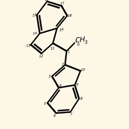 CC(C1=Cc2ccccc2C1)C1C=Cc2ccccc21